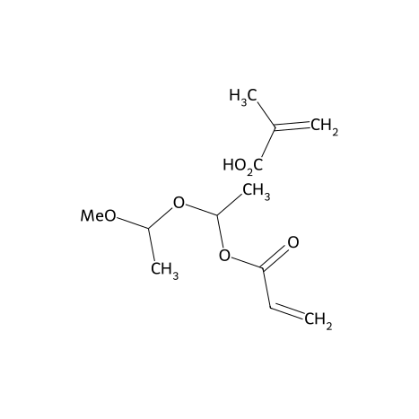 C=C(C)C(=O)O.C=CC(=O)OC(C)OC(C)OC